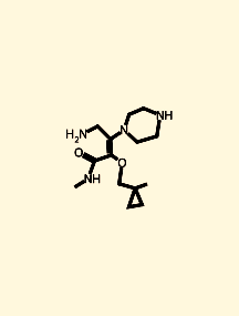 CNC(=O)/C(OCC1(C)CC1)=C(\CN)N1CCNCC1